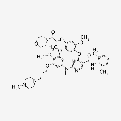 COc1cc(OCC(=O)N2CCOCC2)ccc1Oc1nc(Nc2cc(OC)c(OC)c(OCCCN3CCN(C)CC3)c2)ncc1C(=O)Nc1c(C)cccc1C